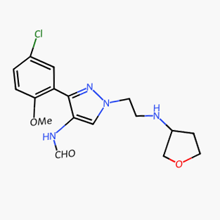 COc1ccc(Cl)cc1-c1nn(CCNC2CCOC2)cc1NC=O